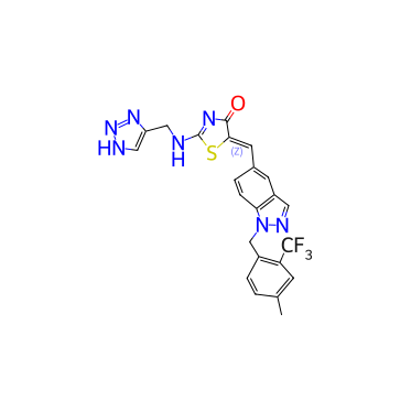 Cc1ccc(Cn2ncc3cc(/C=C4\SC(NCc5c[nH]nn5)=NC4=O)ccc32)c(C(F)(F)F)c1